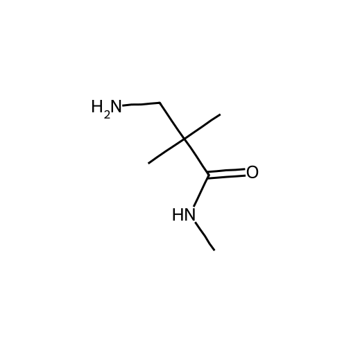 CNC(=O)C(C)(C)CN